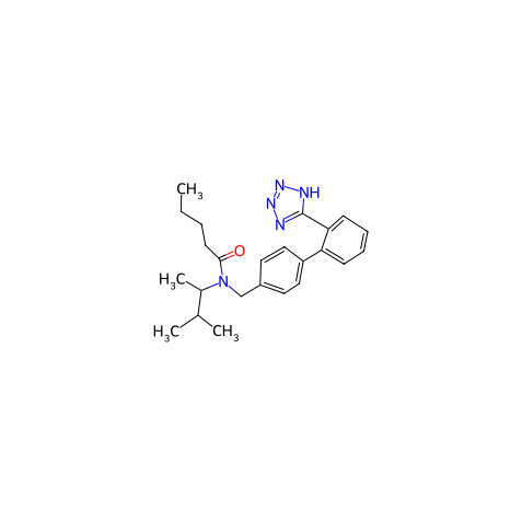 CCCCC(=O)N(Cc1ccc(-c2ccccc2-c2nnn[nH]2)cc1)C(C)C(C)C